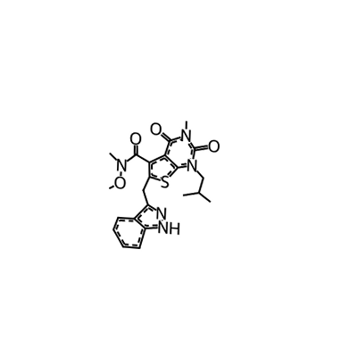 CON(C)C(=O)c1c(Cc2n[nH]c3ccccc23)sc2c1c(=O)n(C)c(=O)n2CC(C)C